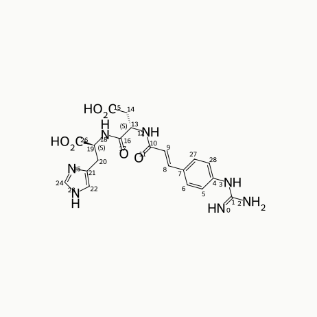 N=C(N)Nc1ccc(C=CC(=O)N[C@@H](CC(=O)O)C(=O)N[C@@H](Cc2c[nH]cn2)C(=O)O)cc1